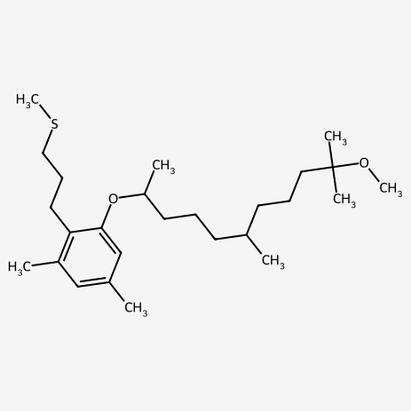 COC(C)(C)CCCC(C)CCCC(C)Oc1cc(C)cc(C)c1CCCSC